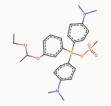 CCOC(C)Oc1cccc(S(OS(C)(=O)=O)(c2ccc(N(C)C)cc2)c2ccc(N(C)C)cc2)c1